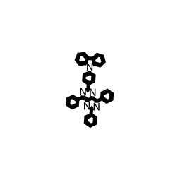 c1ccc(-c2nc(-c3ccccc3)c3nc(-c4ccc(-n5c6ccccc6c6ccccc65)cc4)nc(-c4ccccc4)c3n2)cc1